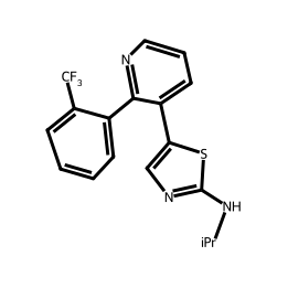 CC(C)Nc1ncc(-c2cccnc2-c2ccccc2C(F)(F)F)s1